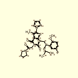 COc1ccc(F)cc1[C@H](Cn1c(=O)n(CC(=O)N2CCCC2)c(=O)c2c(C)c(-n3nccn3)sc21)OC(C)C